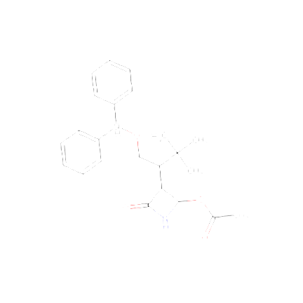 CC(=O)OC1NC(=O)C1C(CO[SiH](c1ccccc1)c1ccccc1)C(C)(C)C